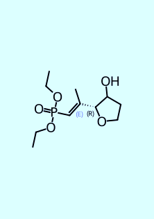 CCOP(=O)(/C=C(\C)[C@H]1OCCC1O)OCC